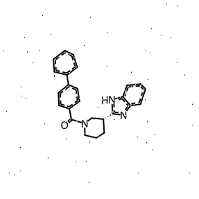 O=C(c1ccc(-c2ccccc2)cc1)N1CCC[C@@H](c2nc3ccccc3[nH]2)C1